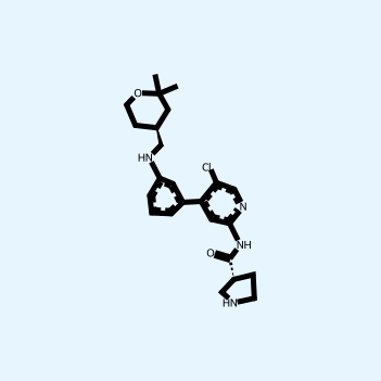 CC1(C)C[C@@H](CNc2cccc(-c3cc(NC(=O)[C@@H]4CCNC4)ncc3Cl)c2)CCO1